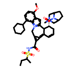 CCC(C)S(=O)(=O)NC(=O)C1=C2Cn3c(cc4c(OC)ccc(C5CCCCC5)c43)C3C(=C21)C=CC[C@H]3C(=O)N1C2CCC1CN(C)C2